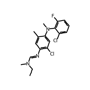 CCN(C)C=Nc1cc(C)c(N(C)c2c(F)cccc2Cl)cc1Cl